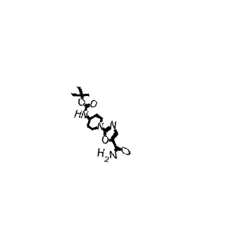 CC(C)(C)OC(=O)NC1CCN(c2ncc(C(N)=O)o2)CC1